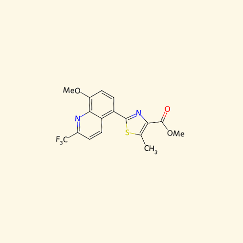 COC(=O)c1nc(-c2ccc(OC)c3nc(C(F)(F)F)ccc23)sc1C